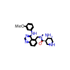 COc1cccc(Nc2ncnc3cccc(CN(C)C(=O)[C@@H]4CNCC[C@H]4N)c23)c1